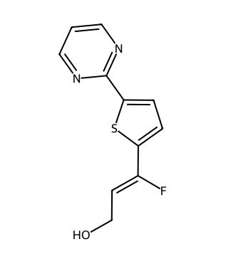 OCC=C(F)c1ccc(-c2ncccn2)s1